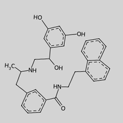 CC(Cc1cccc(C(=O)NCCc2cccc3ccccc23)c1)NCC(O)c1cc(O)cc(O)c1